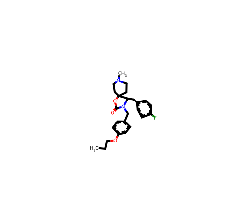 CCCOc1ccc(CN2C(=O)OC3(CCN(C)CC3)C2Cc2ccc(F)cc2)cc1